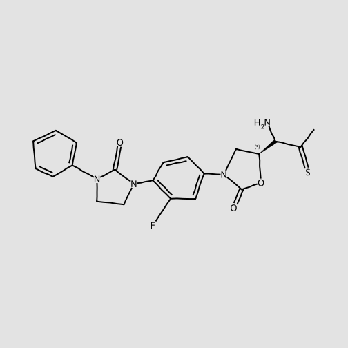 CC(=S)C(N)[C@@H]1CN(c2ccc(N3CCN(c4ccccc4)C3=O)c(F)c2)C(=O)O1